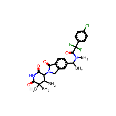 BC(c1ccc2c(c1)CN(C1C(=O)NC(=O)C(B)(B)C1B)C2=O)N(B)C(=O)C(F)(F)c1ccc(Cl)cc1